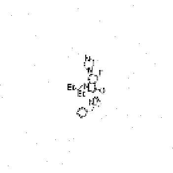 CCC(CC)Cn1cc(-c2noc(Cc3ccccc3)n2)c(=O)c2cc(F)c(N3CCN(C)CC3)cc21